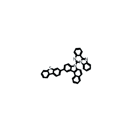 c1ccc2c(c1)ccc1c2c2cc(-c3ccc4c(c3)sc3ccccc34)ccc2n1-c1nc2ccccc2c2nc3ccccc3n12